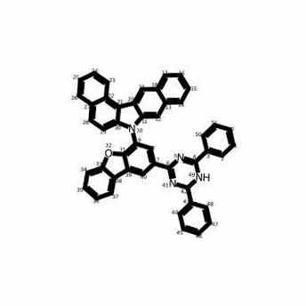 c1ccc(C2=NC(c3cc(-n4c5cc6ccccc6cc5c5c6ccccc6ccc54)c4oc5ccccc5c4c3)=NC(c3ccccc3)N2)cc1